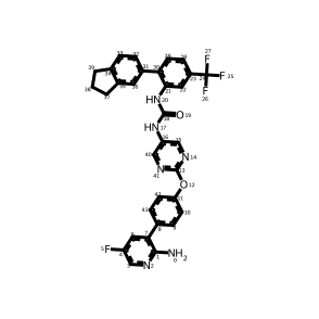 Nc1ncc(F)cc1-c1ccc(Oc2ncc(NC(=O)Nc3cc(C(F)(F)F)ccc3-c3ccc4c(c3)CCC4)cn2)cc1